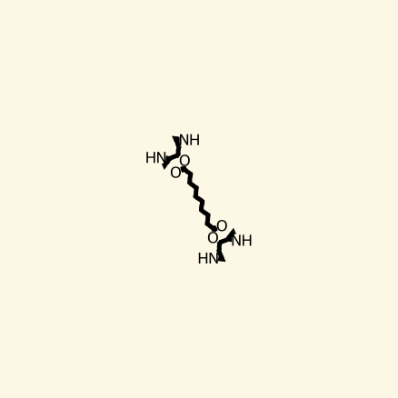 O=C(CCCCCCCCC(=O)OC(C1CN1)C1CN1)OC(C1CN1)C1CN1